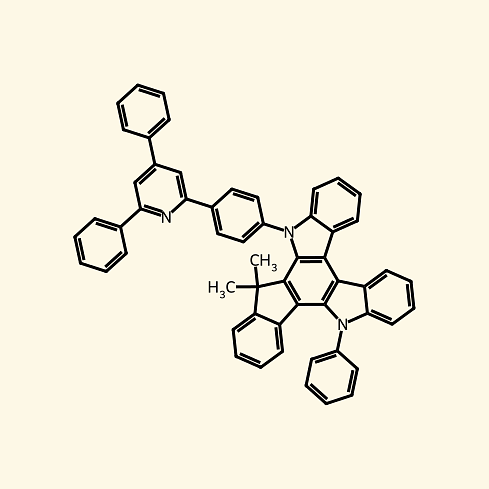 CC1(C)c2ccccc2-c2c1c1c(c3ccccc3n1-c1ccc(-c3cc(-c4ccccc4)cc(-c4ccccc4)n3)cc1)c1c3ccccc3n(-c3ccccc3)c21